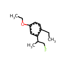 CCOc1ccc(CC)c([C](C)CF)c1